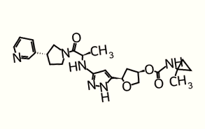 C[C@@H](Nc1cc([C@H]2C[C@@H](OC(=O)NC3(C)CC3)CO2)[nH]n1)C(=O)N1CC[C@H](c2cccnc2)C1